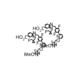 COc1nnc(COc2cccc(-c3cc(F)c(Cc4nc5ccc(C(=O)O)cc5n4CC4(CF)CC4)cc3F)n2)s1.COc1nnc(COc2cccc(-c3cc(F)c(Cc4nc5ccc(C(=O)O)cc5n4CC4(CF)CC4)cc3F)n2)s1